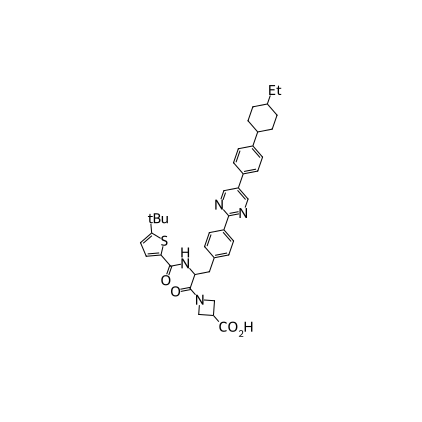 CCC1CCC(c2ccc(-c3cnc(-c4ccc(CC(NC(=O)c5ccc(C(C)(C)C)s5)C(=O)N5CC(C(=O)O)C5)cc4)nc3)cc2)CC1